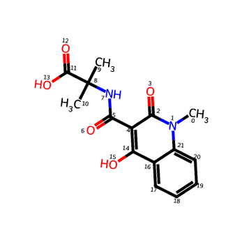 Cn1c(=O)c(C(=O)NC(C)(C)C(=O)O)c(O)c2ccccc21